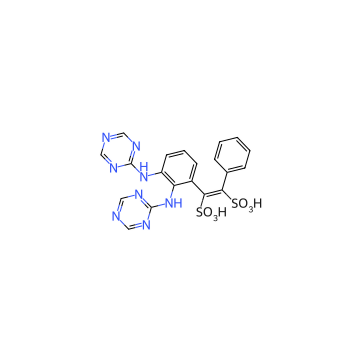 O=S(=O)(O)C(=C(c1cccc(Nc2ncncn2)c1Nc1ncncn1)S(=O)(=O)O)c1ccccc1